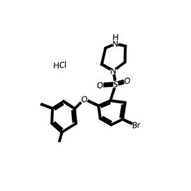 Cc1cc(C)cc(Oc2ccc(Br)cc2S(=O)(=O)N2CCNCC2)c1.Cl